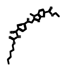 CCCCCCOC(=O)NC(=N)c1ccc(NCc2nc3cc(C(=O)OCC)ccc3n2C)cc1